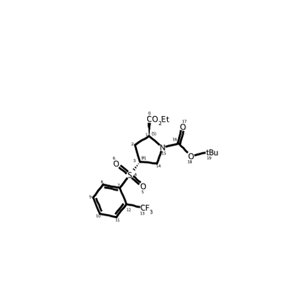 CCOC(=O)[C@@H]1C[C@@H](S(=O)(=O)c2ccccc2C(F)(F)F)CN1C(=O)OC(C)(C)C